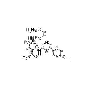 Cc1ccc(-c2cncc(Nc3nc(NC4CCCCC4N)c(F)cc3C(N)=O)c2)cc1